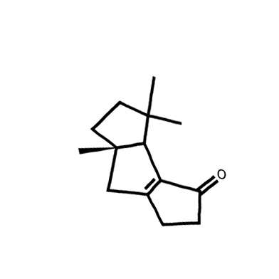 CC1(C)CC[C@@]2(C)CC3=C(C(=O)CC3)C12